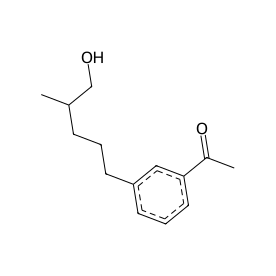 CC(=O)c1cccc(CCCC(C)CO)c1